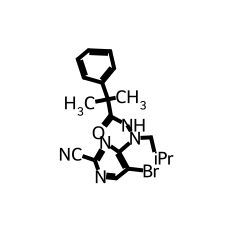 CC(C)CN(NC(=O)C(C)(C)c1ccccc1)c1nc(C#N)ncc1Br